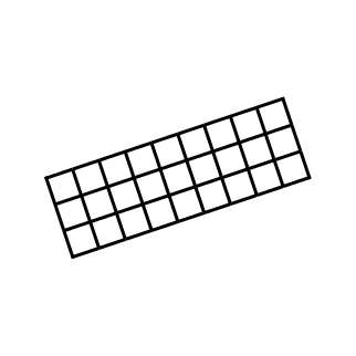 C1C2C3CC4C5C6C7C8C9C%10C%11CC%12C%13CC%14C%15C%16C%17C%18C%19C%20C1C21C34C52C%201C%191C62C72C%181C%171C%163C%154C%13%14C%12%11C%104C93C812